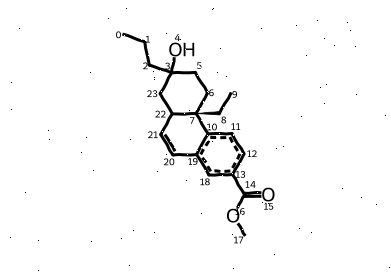 CCCC1(O)CC[C@]2(CC)c3ccc(C(=O)OC)cc3C=CC2C1